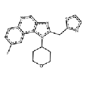 Fc1ccc2ncc3nc(Cc4nccs4)n(C4CCOCC4)c3c2c1